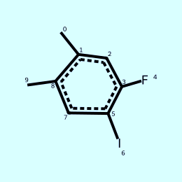 Cc1cc(F)c(I)cc1C